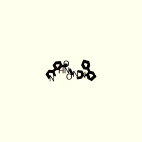 O=C(NCC(=O)N1CCN(c2ccccc2-c2ccccc2)CC1)c1cccc(-c2cccnc2)c1